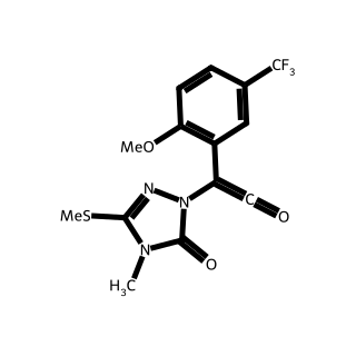 COc1ccc(C(F)(F)F)cc1C(=C=O)n1nc(SC)n(C)c1=O